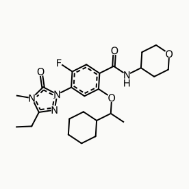 CCc1nn(-c2cc(OC(C)C3CCCCC3)c(C(=O)NC3CCOCC3)cc2F)c(=O)n1C